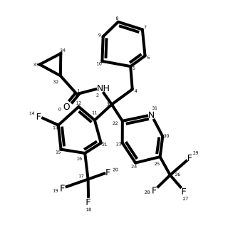 O=C(NC(Cc1ccccc1)(c1cc(F)cc(C(F)(F)F)c1)c1ccc(C(F)(F)F)cn1)C1CC1